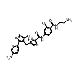 NCCNC(=O)c1ccc(NC(=O)c2ncc(Cc3c(C(F)(F)F)n[nH]c3-c3ccc(N)cn3)[nH]2)cc1Cl